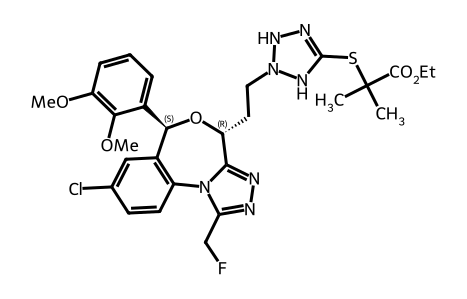 CCOC(=O)C(C)(C)SC1=NNN(CC[C@H]2O[C@H](c3cccc(OC)c3OC)c3cc(Cl)ccc3-n3c(CF)nnc32)N1